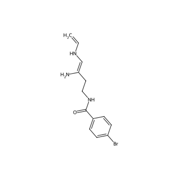 C=CN/C=C(\N)CCNC(=O)c1ccc(Br)cc1